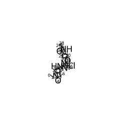 CCN1C(=O)C(C)(C)c2cc(Nc3ncc(Cl)c(Oc4ccc(C(=O)NC5CC5)cc4)n3)ccc21